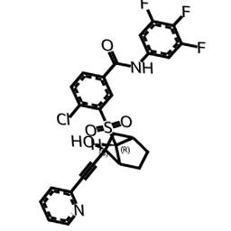 O=C(Nc1cc(F)c(F)c(F)c1)c1ccc(Cl)c(S(=O)(=O)[C@@H]2C3CCC2[C@](O)(C#Cc2ccccn2)C3)c1